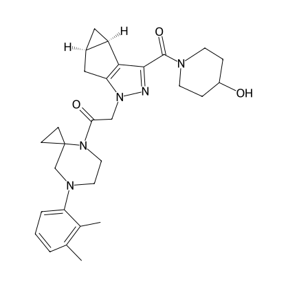 Cc1cccc(N2CCN(C(=O)Cn3nc(C(=O)N4CCC(O)CC4)c4c3C[C@H]3C[C@@H]43)C3(CC3)C2)c1C